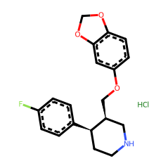 Cl.Fc1ccc([C@@H]2CCNC[C@@H]2COc2ccc3c(c2)OCO3)cc1